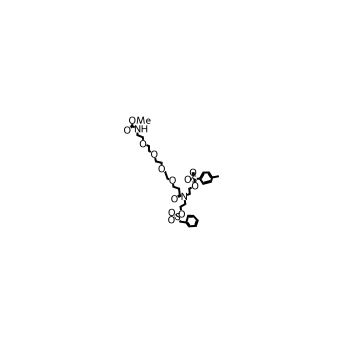 COC(=O)NCCOCCOCCOCCOCCC(=O)N(CCOS(=O)(=O)Cc1ccccc1)CCOS(=O)(=O)c1ccc(C)cc1